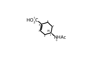 CC(=O)N[C@H]1CC=C(C(=O)O)CC1